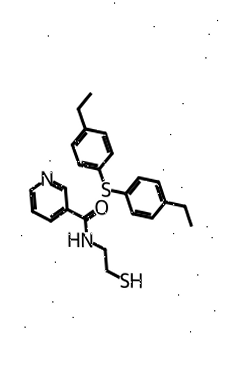 CCc1ccc(Sc2ccc(CC)cc2)cc1.O=C(NCCS)c1cccnc1